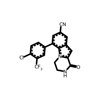 N#Cc1cc(-c2ccc(Cl)c(C(F)(F)F)c2)c2c(c1)cc1n2CCNC1=O